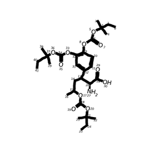 CCC(C)(C)OC(=O)Oc1ccc(C(CC(C)OC(=O)OC(C)(C)CC)[C@H](N)C(=O)O)cc1OC(=O)OC(C)(C)CC